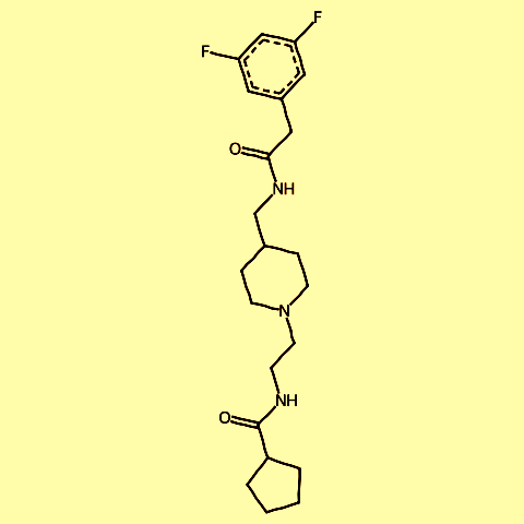 O=C(Cc1cc(F)cc(F)c1)NCC1CCN(CCNC(=O)C2CCCC2)CC1